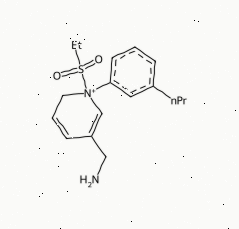 CCCc1cccc([N+]2(S(=O)(=O)CC)C=C(CN)C=CC2)c1